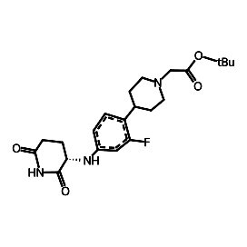 CC(C)(C)OC(=O)CN1CCC(c2ccc(N[C@H]3CCC(=O)NC3=O)cc2F)CC1